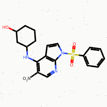 O=[N+]([O-])c1cnc2c(ccn2S(=O)(=O)c2ccccc2)c1NC1CCCC(O)C1